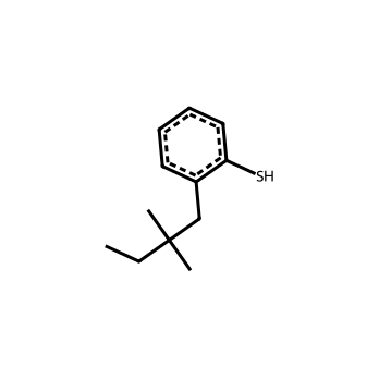 CCC(C)(C)Cc1ccccc1S